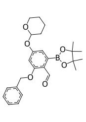 CC1(C)OB(c2cc(OC3CCCCO3)cc(OCc3ccccc3)c2C=O)OC1(C)C